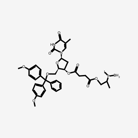 BP(I)C(C)COC(=O)CCC(=O)O[C@@H]1C[C@H](n2cc(C)c(=O)[nH]c2=O)O[C@@H]1COC(c1ccccc1)(c1ccc(OC)cc1)c1ccc(OC)cc1